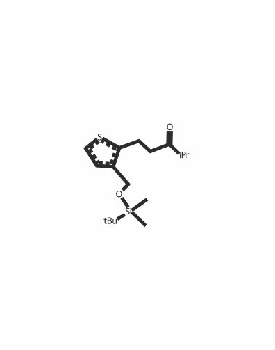 CC(C)C(=O)CCc1sccc1CO[Si](C)(C)C(C)(C)C